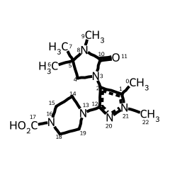 Cc1c(N2CC(C)(C)N(C)C2=O)c(N2CCN(C(=O)O)CC2)nn1C